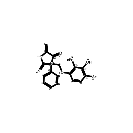 C=C1SC(=S)[N+](COc2ccc(C(C)=O)c(O)c2CCC)(c2ccccc2)C1=O